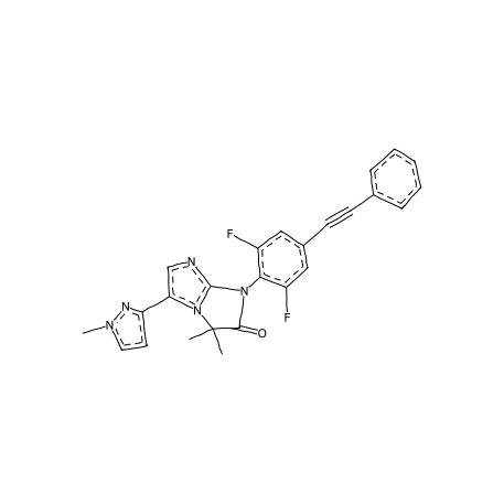 Cn1ccc(-c2cnc3n2C(C)(C)C(=O)N3c2c(F)cc(C#Cc3ccccc3)cc2F)n1